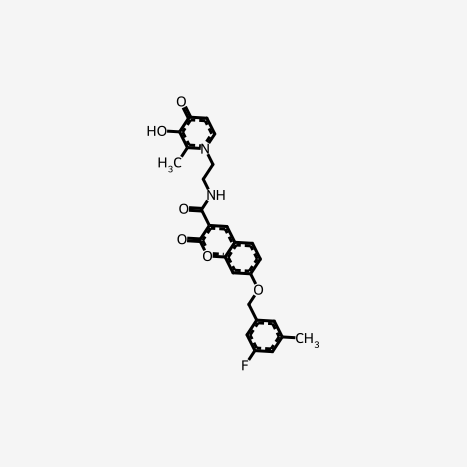 Cc1cc(F)cc(COc2ccc3cc(C(=O)NCCn4ccc(=O)c(O)c4C)c(=O)oc3c2)c1